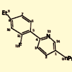 CCCc1ccc(-c2ccc(CC)cc2F)nc1